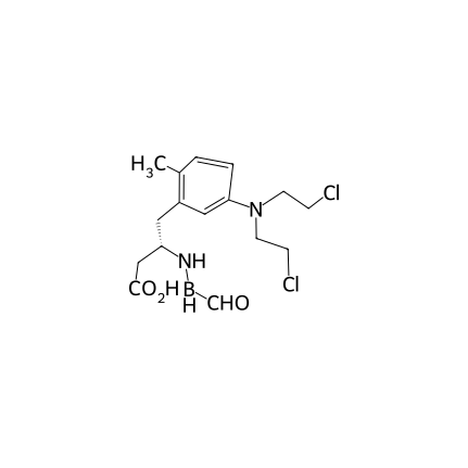 Cc1ccc(N(CCCl)CCCl)cc1C[C@@H](CC(=O)O)NBC=O